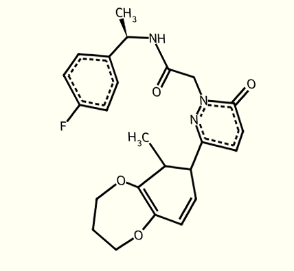 CC1C2=C(C=CC1c1ccc(=O)n(CC(=O)N[C@H](C)c3ccc(F)cc3)n1)OCCCO2